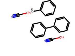 Cc1ccccc1.N#CO.N#CO.c1ccc(-c2ccccc2)cc1